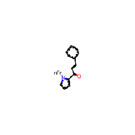 CCCn1cccc1C(=O)/C=C/c1ccccc1